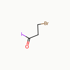 O=C(I)CCBr